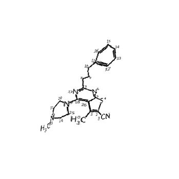 Cc1c(C#N)sc2nc(CCCc3ccccc3)nc(N3CCN(C)CC3)c12